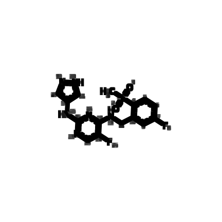 CS(=O)(=O)c1ccc(F)cc1CNc1nc(Nc2cn[nH]c2)ncc1F